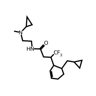 CN(CCNC(=O)CC(C1C=CCCC1CC1CC1)C(F)(F)F)C1CC1